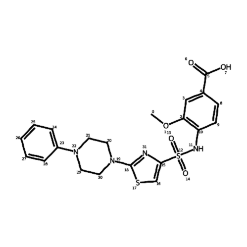 COc1cc(C(=O)O)ccc1NS(=O)(=O)c1csc(N2CCN(c3ccccc3)CC2)n1